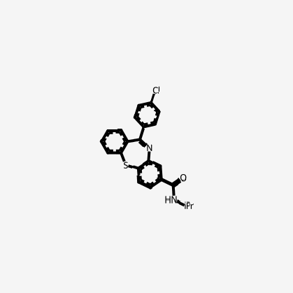 CC(C)NC(=O)c1ccc2c(c1)N=C(c1ccc(Cl)cc1)c1ccccc1S2